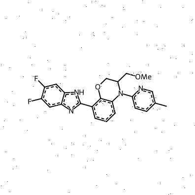 COCC1COc2c(-c3nc4cc(F)c(F)cc4[nH]3)cccc2N1c1ccc(C)cn1